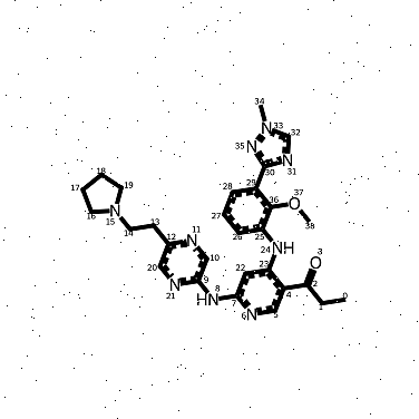 CCC(=O)c1cnc(Nc2cnc(CCN3CCCC3)cn2)cc1Nc1cccc(-c2ncn(C)n2)c1OC